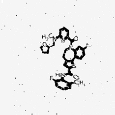 Cc1cccc(F)c1NC(=O)c1cc2c(s1)-c1ccc(F)cc1N(C(=O)c1cccc(N(C)C[C@H]3CCCO3)n1)CC2